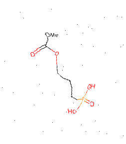 COC(=O)OCCCP(=O)(O)O